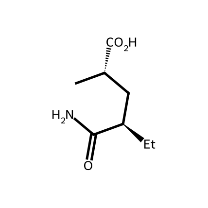 CC[C@H](C[C@H](C)C(=O)O)C(N)=O